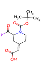 CC(C)(C)OC(=O)N1CCC(=CC(=O)O)CC1C(=O)I